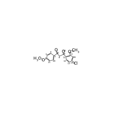 COc1ccc(C(=O)CC(=O)c2ccc(Cl)cc2OC)cc1